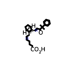 CC(C)(C(=O)/C=C/[C@H]1[C@@H](C/C=C\CCCC(=O)O)[C@H]2CC[C@@H]1O2)c1ccccc1